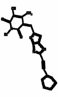 CCN1C(=O)C(C#N)=C(C)/C(=C/c2cc3oc(C#Cc4ccccc4)nc3o2)C1=O